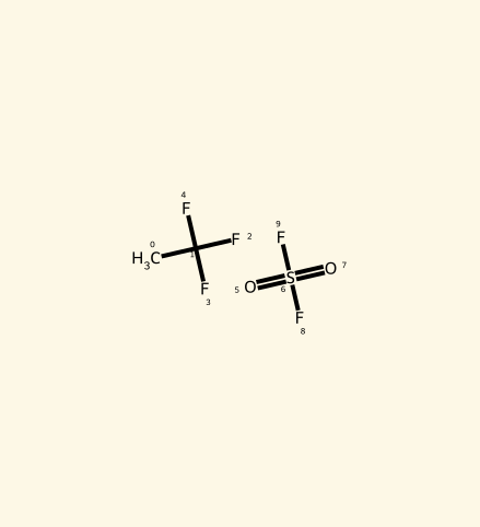 CC(F)(F)F.O=S(=O)(F)F